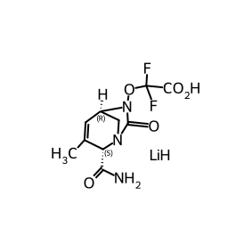 CC1=C[C@@H]2CN(C(=O)N2OC(F)(F)C(=O)O)[C@@H]1C(N)=O.[LiH]